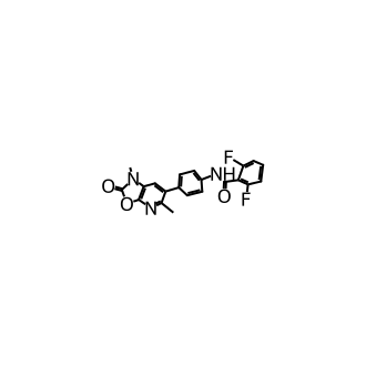 Cc1nc2oc(=O)n(C)c2cc1-c1ccc(NC(=O)c2c(F)cccc2F)cc1